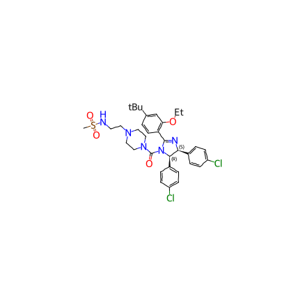 CCOc1cc(C(C)(C)C)ccc1C1=N[C@@H](c2ccc(Cl)cc2)[C@@H](c2ccc(Cl)cc2)N1C(=O)N1CCN(CCNS(C)(=O)=O)CC1